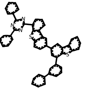 c1ccc(-c2cccc(-c3cc(-c4ccc5sc6c(-c7nc(-c8ccccc8)nc(-c8ccccc8)n7)cccc6c5c4)cc4c3sc3ccccc34)c2)cc1